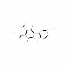 COc1ccc2[nH]c3c(C)c(C(=O)O)c(C(=O)O)c(C)c3c2c1